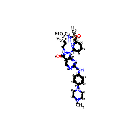 C=CCn1c(=O)c2cnc(Nc3ccc(N4CCN(C)CC4)cc3)nc2n1-c1cccc([SH](C)(=O)NC(=O)OCC)n1